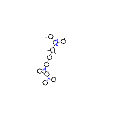 Cc1cccc(-c2cc(-c3cc(C)c(-c4ccc(-c5ccc(-n6c7ccccc7c7cc(N(c8ccccc8)c8ccccc8)ccc76)cc5)cc4)c(C)c3)nc(-c3cccc(C)c3)n2)c1